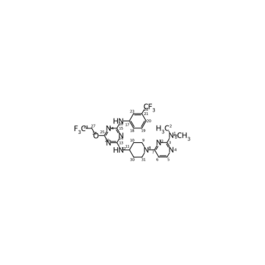 CN(C)c1nccc(N2CCC(Nc3nc(Nc4cccc(C(F)(F)F)c4)nc(OCC(F)(F)F)n3)CC2)n1